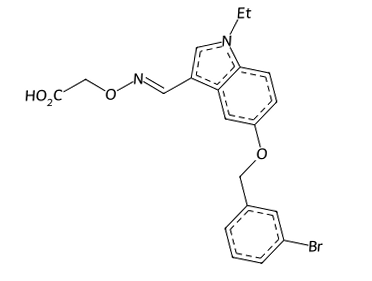 CCn1cc(C=NOCC(=O)O)c2cc(OCc3cccc(Br)c3)ccc21